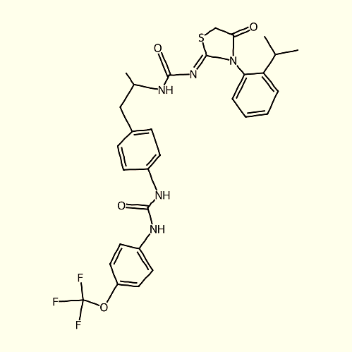 CC(Cc1ccc(NC(=O)Nc2ccc(OC(F)(F)F)cc2)cc1)NC(=O)N=C1SCC(=O)N1c1ccccc1C(C)C